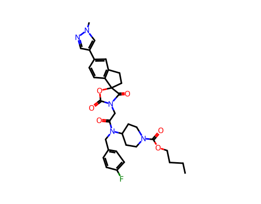 CCCCOC(=O)N1CCC(N(Cc2ccc(F)cc2)C(=O)CN2C(=O)OC3(CCc4cc(-c5cnn(C)c5)ccc43)C2=O)CC1